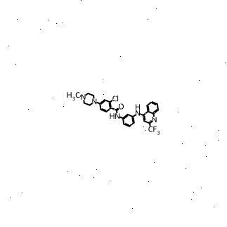 CN1CCN(c2ccc(C(=O)Nc3cccc(Nc4cc(C(F)(F)F)nc5ccccc45)c3)c(Cl)c2)CC1